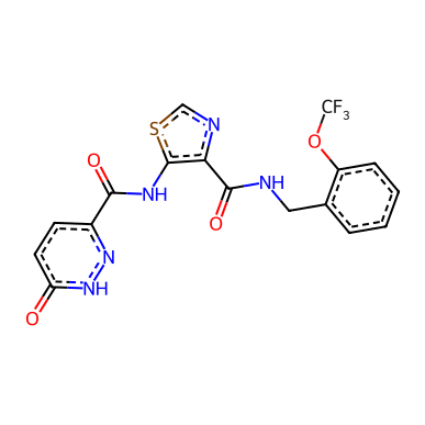 O=C(Nc1scnc1C(=O)NCc1ccccc1OC(F)(F)F)c1ccc(=O)[nH]n1